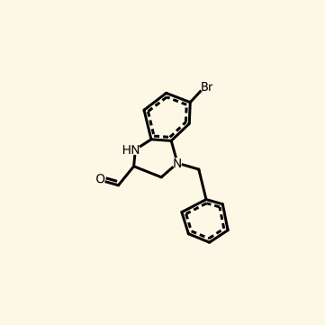 O=CC1CN(Cc2ccccc2)c2cc(Br)ccc2N1